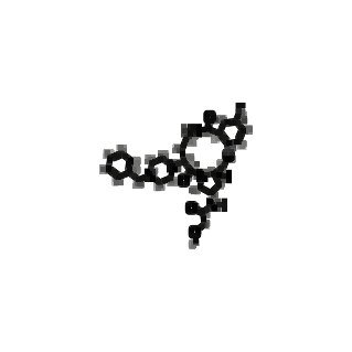 COCC(=O)N[C@H]1C[C@H]2COc3ccc(F)cc3C(=O)NCC[C@H](N3CCN(Cc4ccccc4)CC3)C(=O)N2C1